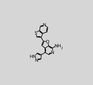 Nc1ncc(-c2cn[nH]c2)c2cc(-c3csc4cnccc34)oc12